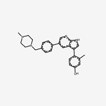 Cc1cc(O)ccc1-c1c[nH]c2ncc(-c3ccc(CN4CCN(C)CC4)cc3)cc12